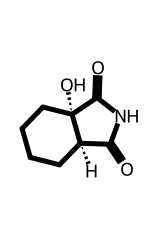 O=C1NC(=O)[C@]2(O)CCCC[C@H]12